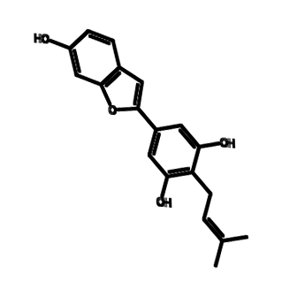 CC(C)=CCc1c(O)cc(-c2cc3ccc(O)cc3o2)cc1O